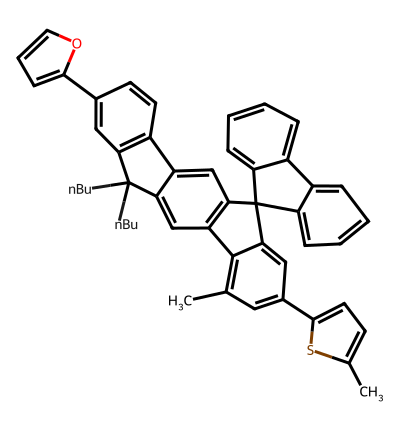 CCCCC1(CCCC)c2cc(-c3ccco3)ccc2-c2cc3c(cc21)-c1c(C)cc(-c2ccc(C)s2)cc1C31c2ccccc2-c2ccccc21